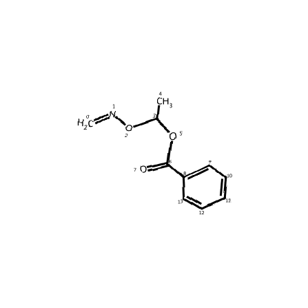 C=NOC(C)OC(=O)c1ccccc1